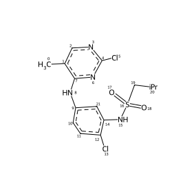 Cc1cnc(Cl)nc1Nc1ccc(Cl)c(NS(=O)(=O)CC(C)C)c1